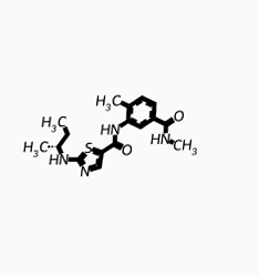 CC[C@@H](C)Nc1ncc(C(=O)Nc2cc(C(=O)NC)ccc2C)s1